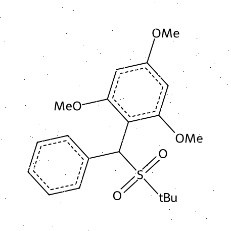 COc1cc(OC)c(C(c2ccccc2)S(=O)(=O)C(C)(C)C)c(OC)c1